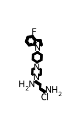 N/C(Cl)=C\C=C(/N)N1CCN(C2CCC(n3ccc4c(F)cccc43)CC2)CC1